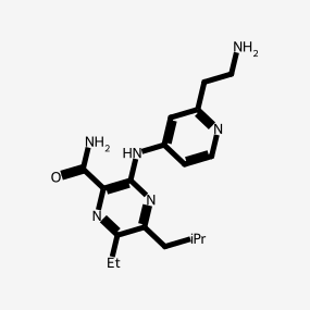 CCc1nc(C(N)=O)c(Nc2ccnc(CCN)c2)nc1CC(C)C